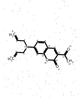 C=CCN(CC=C)c1ccc2cc(C(C)=O)c(=O)oc2c1